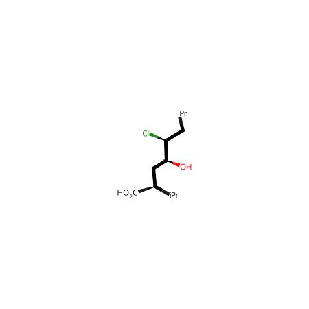 CC(C)C[C@H](Cl)[C@@H](O)C[C@H](C(=O)O)C(C)C